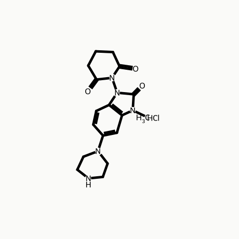 Cl.Cn1c(=O)n(N2C(=O)CCCC2=O)c2ccc(N3CCNCC3)cc21